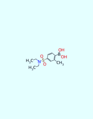 CCN(CC)S(=O)(=O)c1ccc(B(O)O)c(C)c1